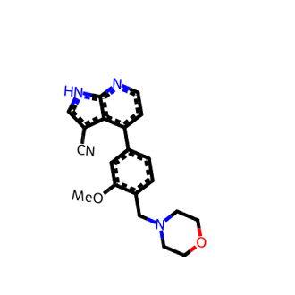 COc1cc(-c2ccnc3[nH]cc(C#N)c23)ccc1CN1CCOCC1